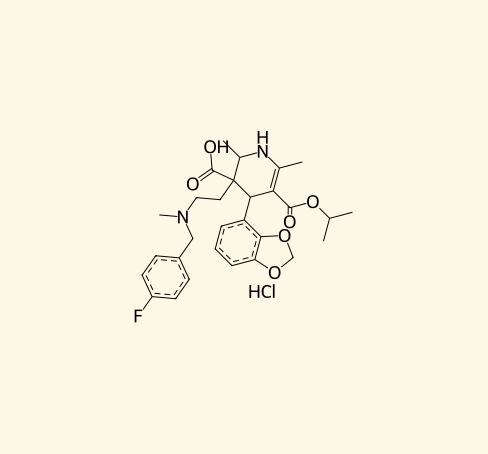 CC1=C(C(=O)OC(C)C)C(c2cccc3c2OCO3)C(CCN(C)Cc2ccc(F)cc2)(C(=O)O)C(C)N1.Cl